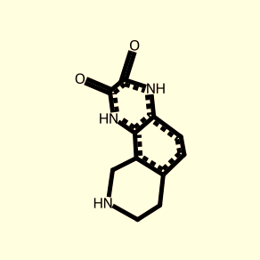 O=c1[nH]c2ccc3c(c2[nH]c1=O)CNCC3